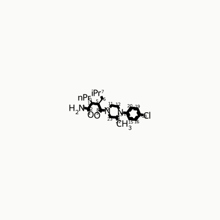 CCC[C@H](C(N)=O)[C@@H](CC(C)C)C(=O)N1CCN(c2ccc(Cl)cc2)C(C)C1